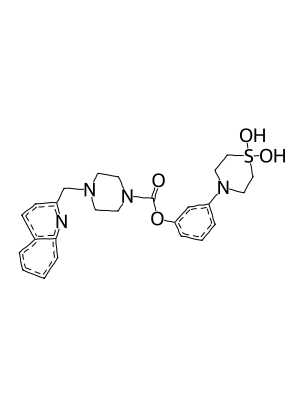 O=C(Oc1cccc(N2CCS(O)(O)CC2)c1)N1CCN(Cc2ccc3ccccc3n2)CC1